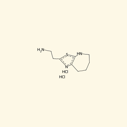 Cl.Cl.NCCc1nc2c(s1)NCCCC2